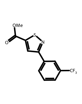 COC(=O)c1cc(-c2cccc(C(F)(F)F)c2)ns1